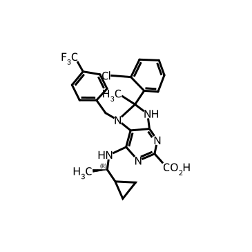 C[C@@H](Nc1nc(C(=O)O)nc2c1N(Cc1ccc(C(F)(F)F)cc1)C(C)(c1ccccc1Cl)N2)C1CC1